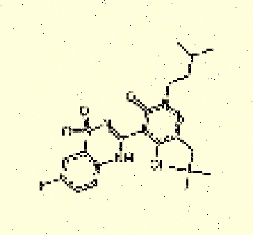 CC(C)CCn1nc(CC(C)(C)C)c(O)c(C2=NS(=O)(=O)c3cc(I)ccc3N2)c1=O